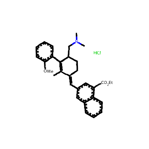 CCOC(=O)c1cc(C=C2CCC(CN(C)C)C(c3ccccc3OC)=C2C)cc2ccccc12.Cl